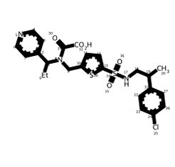 CCC(c1ccncc1)N(Cc1ccc(S(=O)(=O)NCC(C)c2ccc(Cl)cc2)s1)C(=O)C(=O)O